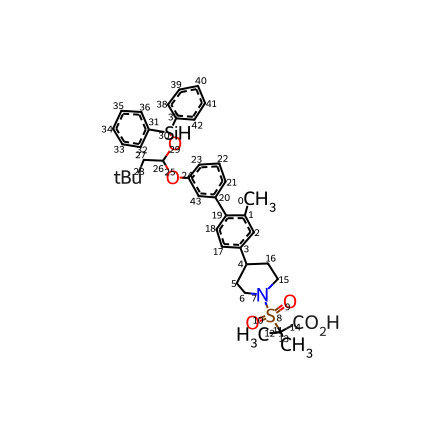 Cc1cc(C2CCN(S(=O)(=O)C(C)(C)C(=O)O)CC2)ccc1-c1cccc(OC(CC(C)(C)C)O[SiH](c2ccccc2)c2ccccc2)c1